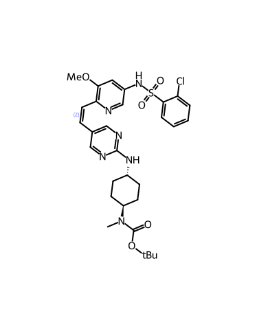 COc1cc(NS(=O)(=O)c2ccccc2Cl)cnc1/C=C\c1cnc(N[C@H]2CC[C@H](N(C)C(=O)OC(C)(C)C)CC2)nc1